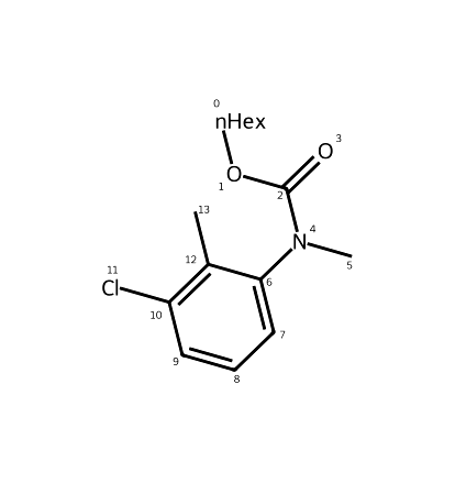 [CH2]CCCCCOC(=O)N(C)c1cccc(Cl)c1C